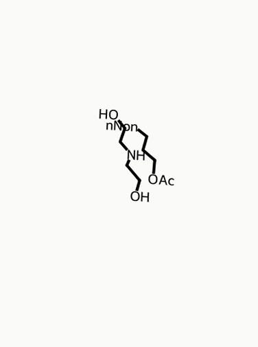 CCCCCCCCCCCCOC(C)=O.OCCNCCO